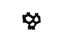 c1cc2c3c(nnnc3n1)N=N2